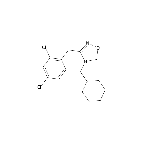 Clc1ccc(CC2=NOCN2CC2CCCCC2)c(Cl)c1